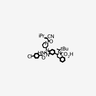 CC(C)C=C(C#N)C(=O)N1CCCC(n2c(NC(=O)c3ccc(Cl)cc3)nc3cc(C(Cc4ccccc4)N(C(=O)O)C(C)C(C)(C)C)ccc32)C1